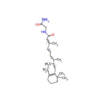 CC1=C(/C=C(C)/C(C)=C/C=C/C(C)=C/C(=O)NCC(N)=O)C(C)(C)CCC1